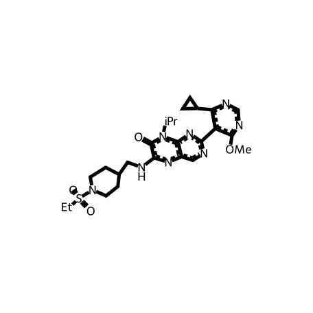 CCS(=O)(=O)N1CCC(CNc2nc3cnc(-c4c(OC)ncnc4C4CC4)nc3n(C(C)C)c2=O)CC1